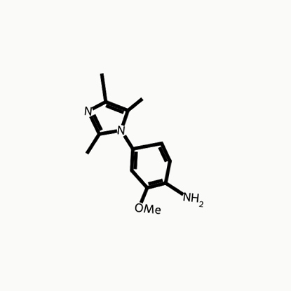 COc1cc(-n2c(C)nc(C)c2C)ccc1N